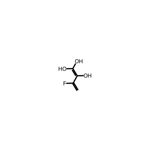 C=C(F)C(O)=C(O)O